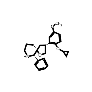 FC(F)(F)Oc1ccc(OC2CC2)c([C@@H]2CO[C@]3(CCCN[C@H]3c3ccccc3)C2)c1